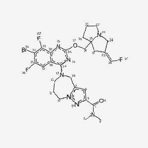 CN(C)C(=O)c1cc2n(n1)CCCN(c1nc(OCC34CCCN3C/C(=C\F)C4)nc3c(F)c(Br)c(F)cc13)C2